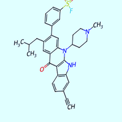 C#Cc1ccc2c(c1)[nH]c1c2c(=O)c2cc(CC(C)C)c(-c3cccc(S(=O)(=O)F)c3)cc2n1C1CCN(C)CC1